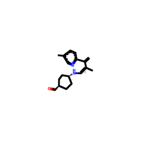 C=C(/C(C)=C\N[C@H]1CC[C@H](C=O)CC1)c1ccc(C)cn1